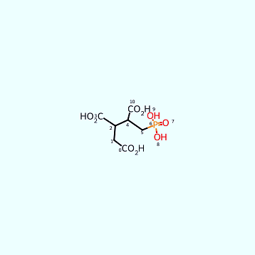 O=C(O)CC(C(=O)O)C(CP(=O)(O)O)C(=O)O